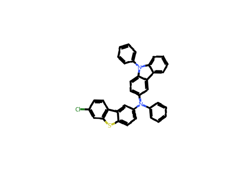 Clc1ccc2c(c1)sc1ccc(N(c3ccccc3)c3ccc4c(c3)c3ccccc3n4-c3ccccc3)cc12